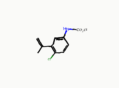 C=C(C)c1cc(NC(=O)OCC)ccc1Cl